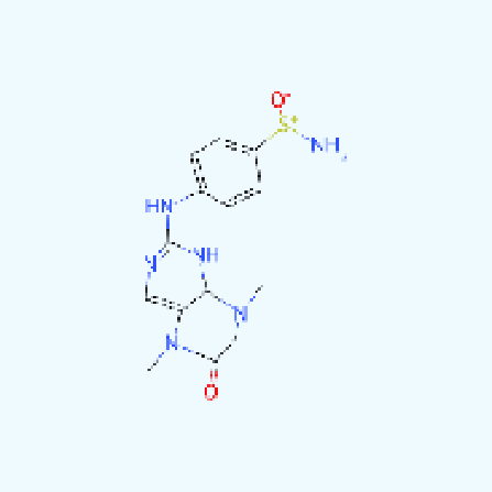 CN1C(=O)CN(C)C2NC(Nc3ccc([S+](N)[O-])cc3)=NC=C21